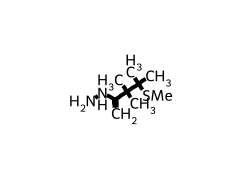 C=C(NN)C(C)(C)C(C)(C)SC